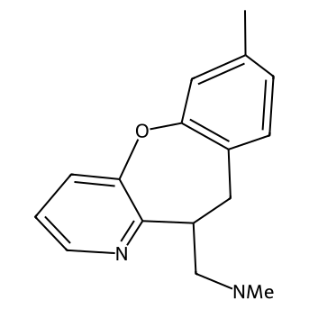 CNCC1Cc2ccc(C)cc2Oc2cccnc21